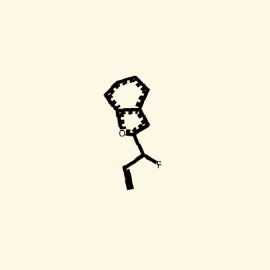 C=CC(F)c1cc2ccccc2o1